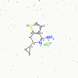 Cl.NC1=NC(C2CC2)Cc2sccc21